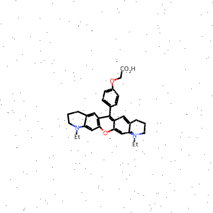 CCN1CCCc2cc3c(cc21)Oc1cc2c(cc1=C3c1ccc(OCC(=O)O)cc1)CCC[N+]=2CC